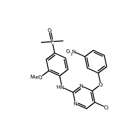 COc1cc(P(C)(C)=O)ccc1Nc1ncc(Cl)c(Oc2cccc([N+](=O)[O-])c2)n1